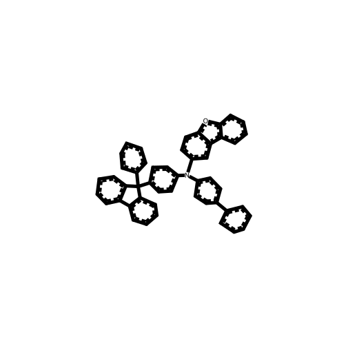 c1ccc(-c2ccc(N(c3ccc(C4(c5ccccc5)c5ccccc5-c5ccccc54)cc3)c3ccc4oc5ccccc5c4c3)cc2)cc1